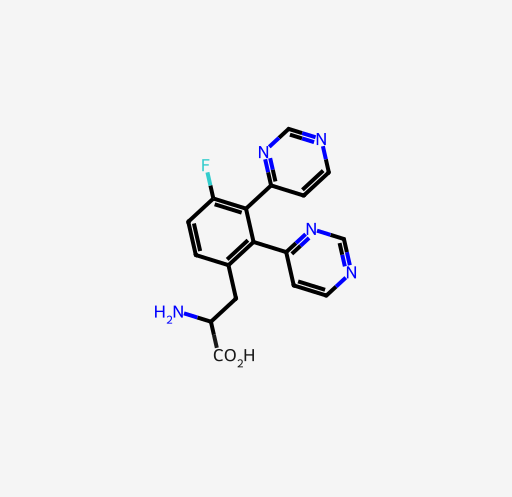 NC(Cc1ccc(F)c(-c2ccncn2)c1-c1ccncn1)C(=O)O